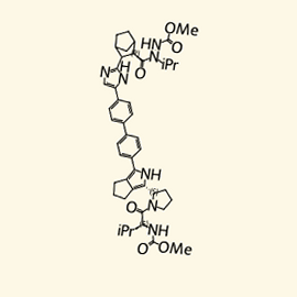 COC(=O)N[C@H](C(=O)N1CCC[C@H]1c1[nH]c(-c2ccc(-c3ccc(-c4cnc(C5C6CCC(C6)[C@H]5C(=O)N(NC(=O)OC)C(C)C)[nH]4)cc3)cc2)c2c1CCC2)C(C)C